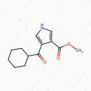 COC(=O)c1c[nH]cc1C(=O)C1CCCCC1